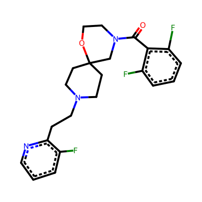 O=C(c1c(F)cccc1F)N1CCOC2(CCN(CCc3ncccc3F)CC2)C1